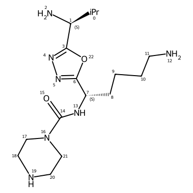 CC(C)[C@H](N)c1nnc([C@H](CCCCN)NC(=O)N2CCNCC2)o1